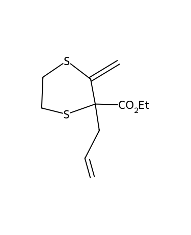 C=CCC1(C(=O)OCC)SCCSC1=C